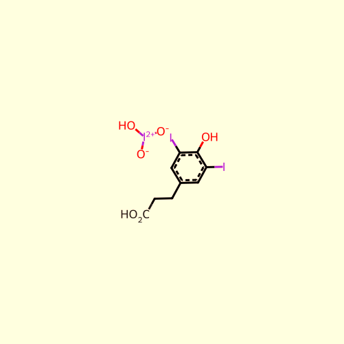 O=C(O)CCc1cc(I)c(O)c(I)c1.[O-][I+2]([O-])O